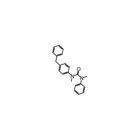 CN(C(=O)N(C)c1ccc(Cc2ccccc2)cc1)c1ccccc1